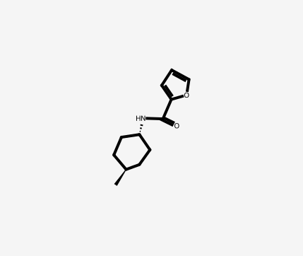 C[C@H]1CC[C@H](NC(=O)c2ccco2)CC1